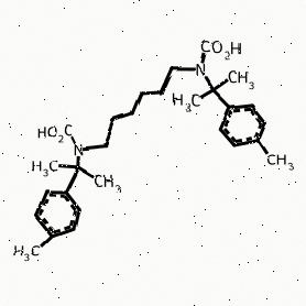 Cc1ccc(C(C)(C)N(CCCCCCN(C(=O)O)C(C)(C)c2ccc(C)cc2)C(=O)O)cc1